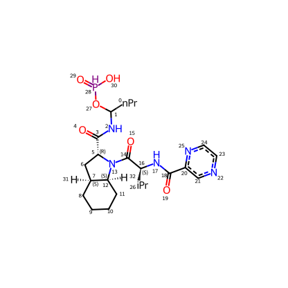 CCCC(NC(=O)[C@H]1C[C@@H]2CCCC[C@@H]2N1C(=O)[C@@H](NC(=O)c1cnccn1)C(C)C)O[PH](=O)O